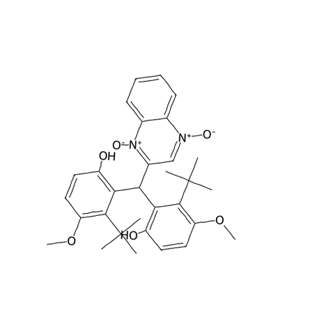 COc1ccc(O)c(C(c2c(O)ccc(OC)c2C(C)(C)C)c2c[n+]([O-])c3ccccc3[n+]2[O-])c1C(C)(C)C